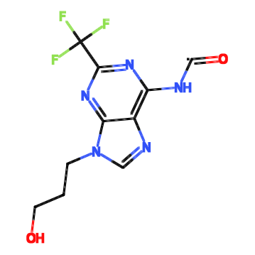 O=[C]Nc1nc(C(F)(F)F)nc2c1ncn2CCCO